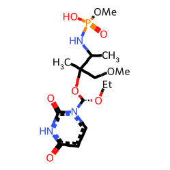 CCO[C@@H](OC(C)(COC)C(C)NP(=O)(O)OC)n1ccc(=O)[nH]c1=O